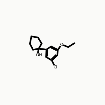 CCOc1cc(Cl)cc(C2(O)CCCCC2)c1